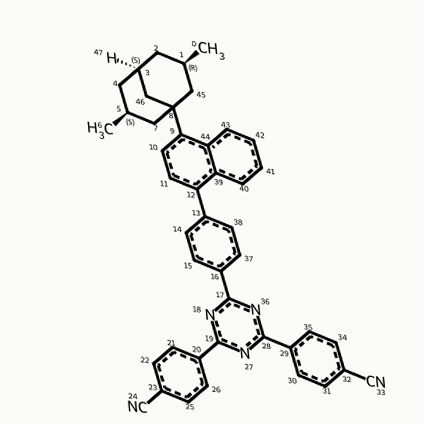 C[C@@H]1C[C@@H]2C[C@H](C)CC(c3ccc(-c4ccc(-c5nc(-c6ccc(C#N)cc6)nc(-c6ccc(C#N)cc6)n5)cc4)c4ccccc34)(C1)C2